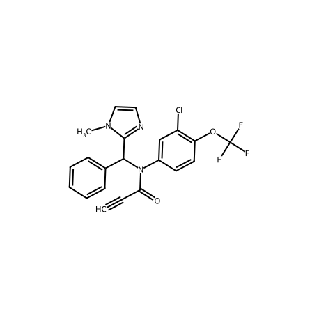 C#CC(=O)N(c1ccc(OC(F)(F)F)c(Cl)c1)C(c1ccccc1)c1nccn1C